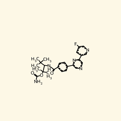 CC(C)(C)C(NC(=O)c1ccc(-c2cncc(-c3cncc(F)c3)n2)cc1)C(C)(C)OC(N)=O